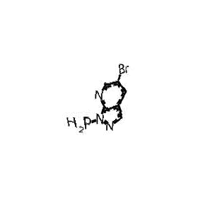 Pn1ncc2cc(Br)cnc21